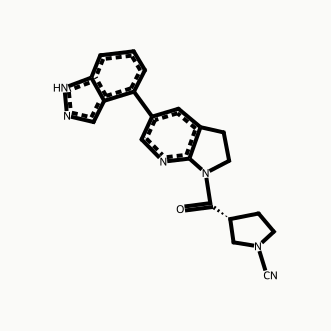 N#CN1CC[C@@H](C(=O)N2CCc3cc(-c4cccc5[nH]ncc45)cnc32)C1